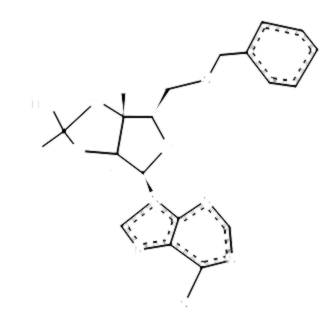 CC1(C)O[C@H]2[C@H](O1)[C@@H](CNCc1ccccc1)O[C@H]2n1cnc2c(N)ncnc21